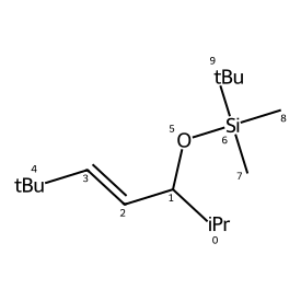 CC(C)C(/C=C/C(C)(C)C)O[Si](C)(C)C(C)(C)C